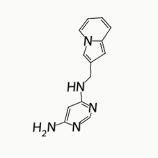 Nc1cc(NCc2cc3ccccn3c2)ncn1